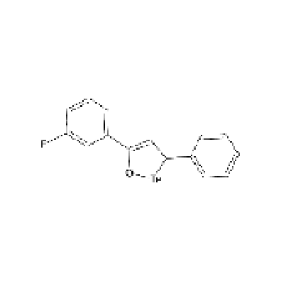 Fc1cccc(C2=CC(c3ccccc3)[Te]O2)c1